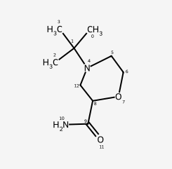 CC(C)(C)N1CCOC(C(N)=O)C1